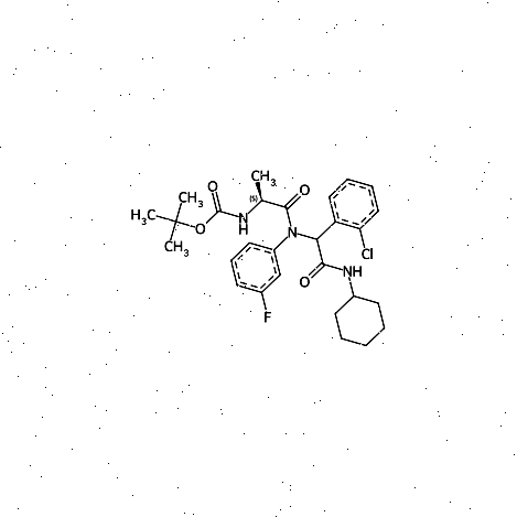 C[C@H](NC(=O)OC(C)(C)C)C(=O)N(c1cccc(F)c1)C(C(=O)NC1CCCCC1)c1ccccc1Cl